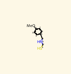 COc1ccc(CNCS)cc1